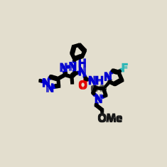 COCCN1C[C@H](NC(=O)Nc2c(C)c(-c3cnn(C)c3)nn2-c2ccccc2)[C@@H](c2ccc(F)cn2)C1